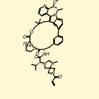 C=CC(=O)N1CC2(C1)CN([C@H](C(=O)N[C@H]1Cc3cccc(c3)-c3ccc4c(c3)c(c(-c3cccnc3[C@H](C)OC)n4CC)CC(C)(C)COC(=O)[C@@H]3CCCN(N3)C1=O)C(C)C)CN2C